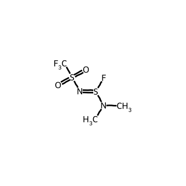 CN(C)S(F)=NS(=O)(=O)C(F)(F)F